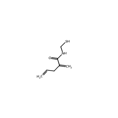 C=CCC(=C)C(=O)NCS